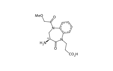 COCC(=O)N1C[C@H](N)C(=O)N(CCC(=O)O)c2ccccc21